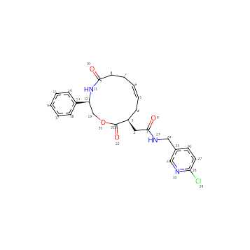 O=C(C[C@@H]1CC=CCCC(=O)N[C@H](c2ccccc2)COC1=O)NCc1ccc(Cl)nc1